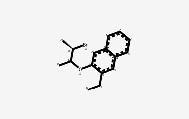 CCc1cc2ccccc2cc1OC(C)[C@@H](C)Br